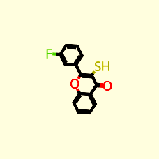 O=c1c(S)c(-c2cccc(F)c2)oc2ccccc12